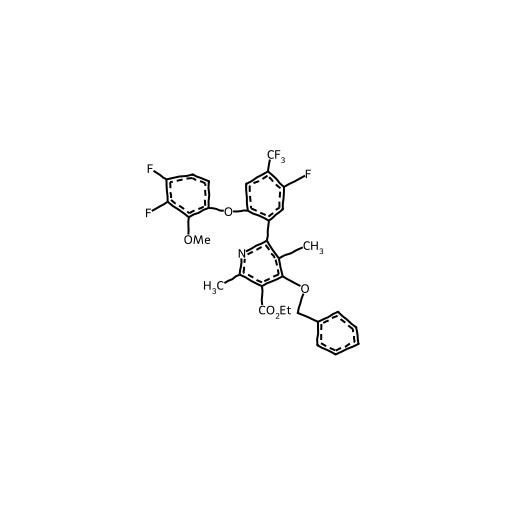 CCOC(=O)c1c(C)nc(-c2cc(F)c(C(F)(F)F)cc2Oc2ccc(F)c(F)c2OC)c(C)c1OCc1ccccc1